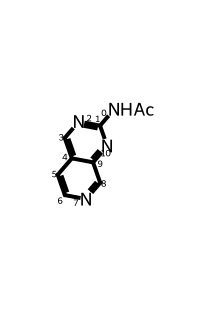 CC(=O)Nc1ncc2ccncc2n1